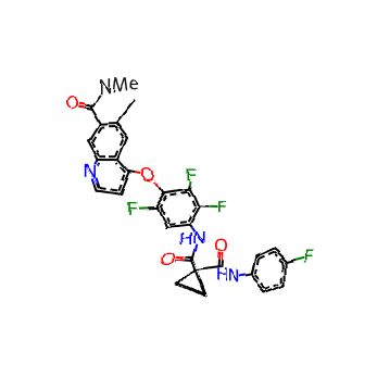 CNC(=O)c1cc2nccc(Oc3c(F)cc(NC(=O)C4(C(=O)Nc5ccc(F)cc5)CC4)c(F)c3F)c2cc1C